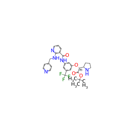 CC(C)(C)OC(=O)[C@H](Oc1cc(NC(=O)c2cccnc2NCc2ccncc2)cc(C(F)(F)F)c1)C1CCCN1